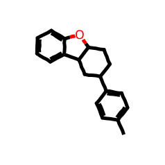 Cc1ccc(C2CCC3Oc4ccccc4C3C2)cc1